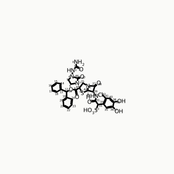 NC(=O)NN1CCN([C@]2(C(=O)OC(c3ccccc3)c3ccccc3)CN3C(=O)[C@@H](NC(=O)C(c4cc(O)c(O)cc4Cl)S(=O)(=O)O)[C@H]3S2)C1=O